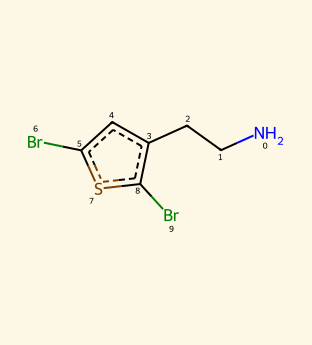 NCCc1cc(Br)sc1Br